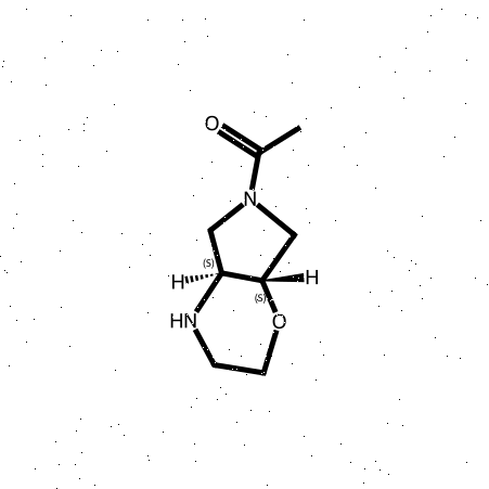 CC(=O)N1C[C@@H]2NCCO[C@H]2C1